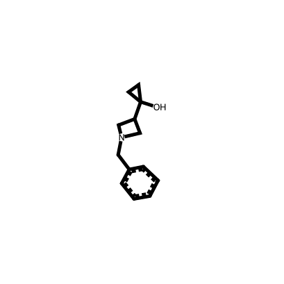 OC1(C2CN(Cc3ccccc3)C2)CC1